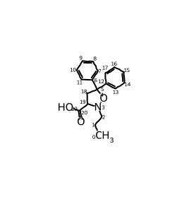 CCCN1OC(c2ccccc2)(c2ccccc2)CC1C(=O)O